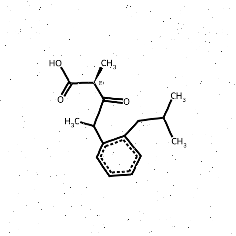 CC(C)Cc1ccccc1C(C)C(=O)[C@H](C)C(=O)O